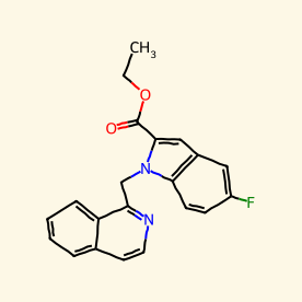 CCOC(=O)c1cc2cc(F)ccc2n1Cc1nccc2ccccc12